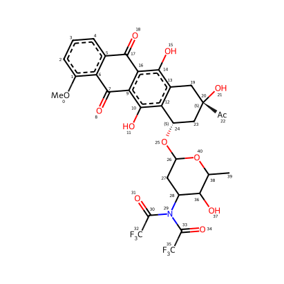 COc1cccc2c1C(=O)c1c(O)c3c(c(O)c1C2=O)C[C@@](O)(C(C)=O)C[C@@H]3OC1CC(N(C(=O)C(F)(F)F)C(=O)C(F)(F)F)C(O)C(C)O1